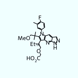 CC[C@H](COCC(=O)O)c1c(C(C)(C)COC)n(-c2ccc(F)c(C)c2)c2cc3cn[nH]c3nc12